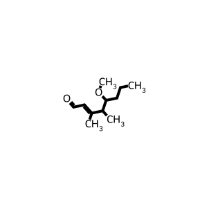 CCCC(OC)C(C)/C(C)=C/C=O